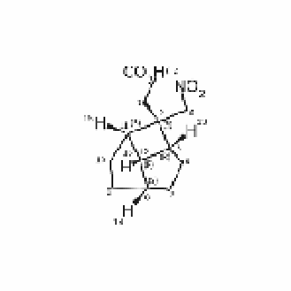 O=C(O)C[C@@]1(C[N+](=O)[O-])[C@@H]2CC[C@@H]3CC[C@H]1[C@@H]32